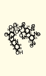 CC[C@@]1(OC(=O)[C@@H]2ON=C3c4cc(N=O)cc(N=O)c4-c4c(N=O)cc(N=O)c2c43)C(=O)OCc2c1cc1n(c2=O)Cc2cc3cc(O)ccc3nc2-1